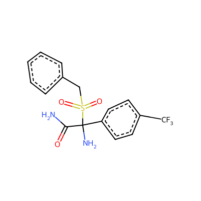 NC(=O)C(N)(c1ccc(C(F)(F)F)cc1)S(=O)(=O)Cc1ccccc1